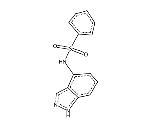 O=S(=O)(Nc1cccc2[nH]ncc12)c1ccccc1